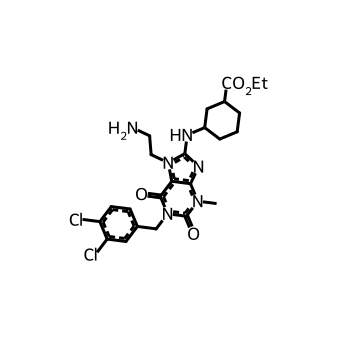 CCOC(=O)C1CCCC(Nc2nc3c(c(=O)n(Cc4ccc(Cl)c(Cl)c4)c(=O)n3C)n2CCN)C1